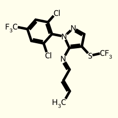 CC=CC=Nc1c(SC(F)(F)F)cnn1-c1c(Cl)cc(C(F)(F)F)cc1Cl